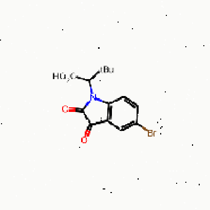 CC(C)(C)C(C(=O)O)N1C(=O)C(=O)c2cc(Br)ccc21